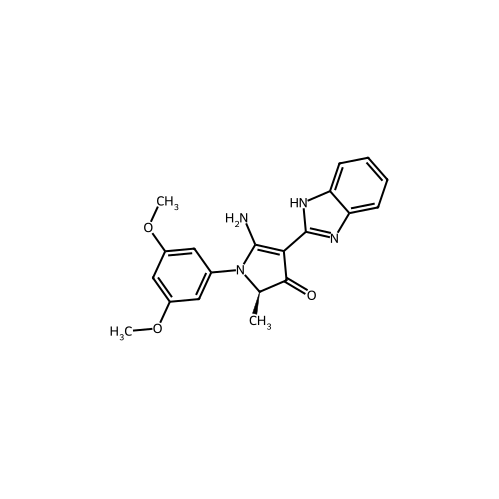 COc1cc(OC)cc(N2C(N)=C(c3nc4ccccc4[nH]3)C(=O)[C@H]2C)c1